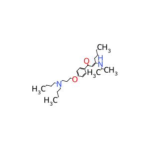 CCCC/C(=C\C(=O)c1ccc(OCCCN(CCCC)CCCC)cc1)NC(C)C